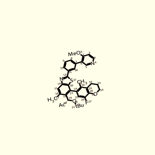 COc1ccncc1-c1cccc(-c2nc3cc(C)c([C@H](OC(C)(C)C)C(C)=O)c(-c4cc(F)c5c(c4C)CCCO5)c3s2)c1